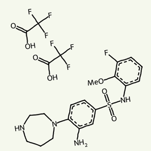 COc1c(F)cccc1NS(=O)(=O)c1ccc(N2CCCNCC2)c(N)c1.O=C(O)C(F)(F)F.O=C(O)C(F)(F)F